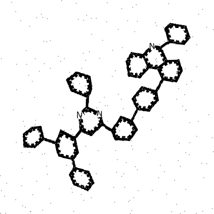 c1ccc(-c2cc(-c3ccccc3)cc(-c3cc(-c4cccc(-c5ccc(-c6cccc7c(-c8ccccc8)nc8ccccc8c67)cc5)c4)nc(-c4ccccc4)n3)c2)cc1